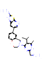 Cc1nc([C@@H](C)N)nc(N2CCOc3ccc(-c4cnc5sc(N)nc5c4)cc3C2)c1C(C)C